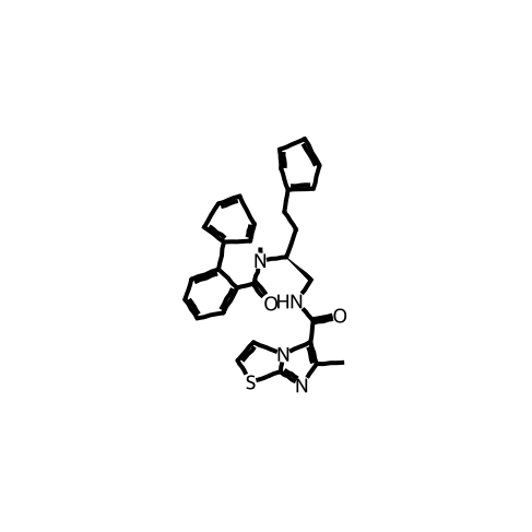 Cc1nc2sccn2c1C(=O)NC[C@H](CCc1ccccc1)N(C)C(=O)c1ccccc1-c1ccccc1